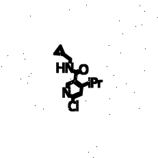 CC(C)c1cc(Cl)ncc1C(=O)NCC1CC1